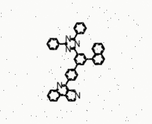 c1ccc(-c2nc(-c3ccccc3)nc(-c3cc(-c4ccc(-c5nc6ccccc6c6ccncc56)cc4)cc(-c4cccc5ccccc45)c3)n2)cc1